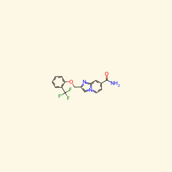 NC(=O)c1ccn2cc(COc3ccccc3C(F)(F)F)nc2c1